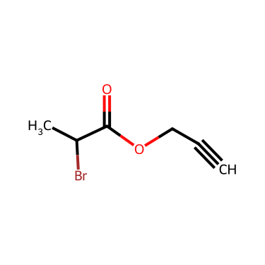 C#CCOC(=O)C(C)Br